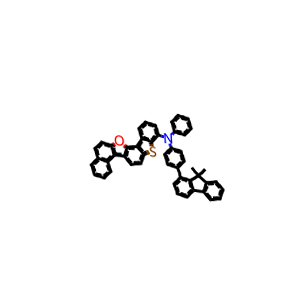 CC1(C)c2ccccc2-c2cccc(-c3ccc(N(c4ccccc4)c4cccc5c4sc4ccc6c(oc7ccc8ccccc8c76)c45)cc3)c21